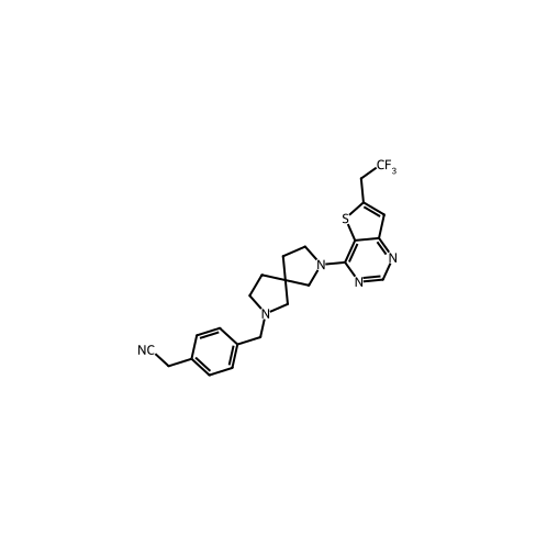 N#CCc1ccc(CN2CCC3(CCN(c4ncnc5cc(CC(F)(F)F)sc45)C3)C2)cc1